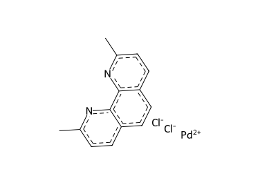 Cc1ccc2ccc3ccc(C)nc3c2n1.[Cl-].[Cl-].[Pd+2]